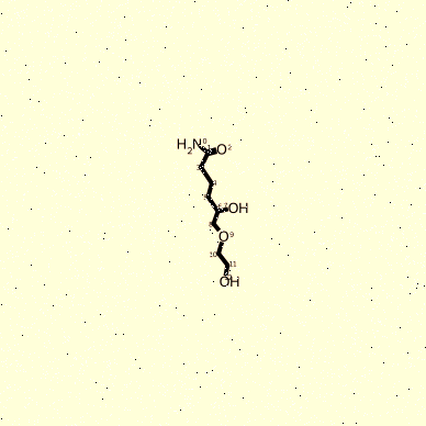 NC(=O)CCCC(O)COCCO